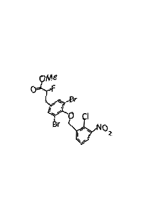 COC(=O)[C@@H](F)Cc1cc(Br)c(OCc2cccc([N+](=O)[O-])c2Cl)c(Br)c1